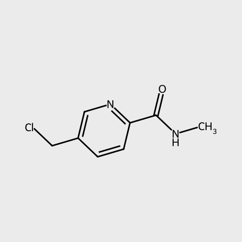 CNC(=O)c1ccc(CCl)cn1